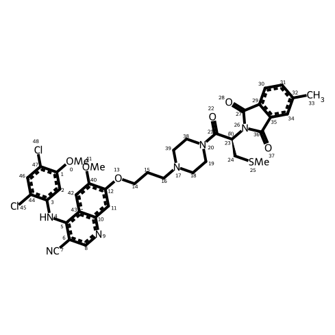 COc1cc(Nc2c(C#N)cnc3cc(OCCCN4CCN(C(=O)[C@H](CSC)N5C(=O)c6ccc(C)cc6C5=O)CC4)c(OC)cc23)c(Cl)cc1Cl